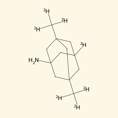 [2H]C12CC3(N)CC(C([2H])([2H])[2H])(C1)CC(C([2H])([2H])[2H])(C2)C3